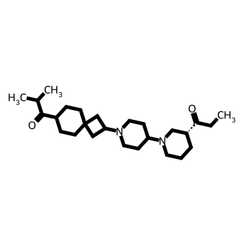 CCC(=O)[C@@H]1CCCN(C2CCN(C3CC4(CCC(C(=O)C(C)C)CC4)C3)CC2)C1